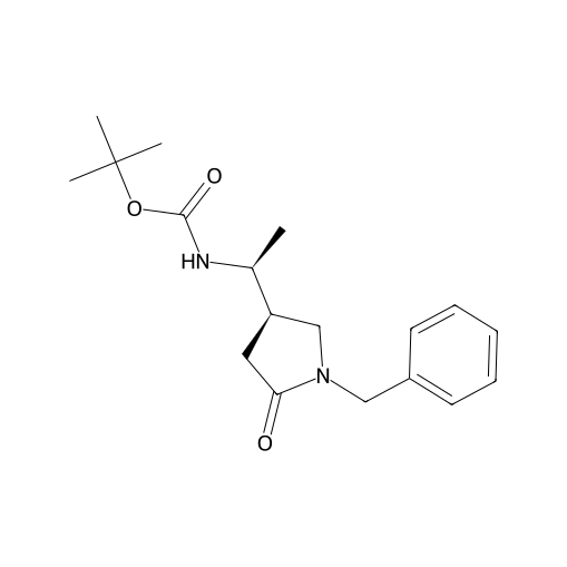 C[C@H](NC(=O)OC(C)(C)C)[C@@H]1CC(=O)N(Cc2ccccc2)C1